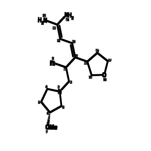 CCC(CN1CC[C@@H](OC)C1)/C(=C\C=C(N)N)C1CCOC1